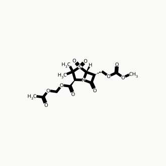 COC(=O)OC[C@@H]1C(=O)N2[C@@H](C(=O)OCOC(C)=O)C(C)(C)S(=O)(=O)[C@H]12